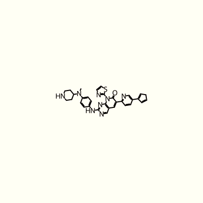 CN(c1ccc(Nc2ncc3cc(-c4ccc(C5=CCC=C5)cn4)c(=O)n(-c4nccs4)c3n2)cc1)C1CCNCC1